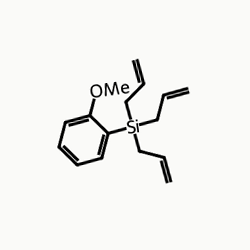 C=CC[Si](CC=C)(CC=C)c1ccccc1OC